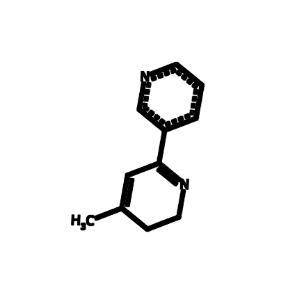 CC1=CC(c2cccnc2)=NCC1